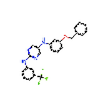 FC(F)(F)c1cccc(Nc2ncc(Nc3cccc(OCc4ccccc4)c3)cn2)c1